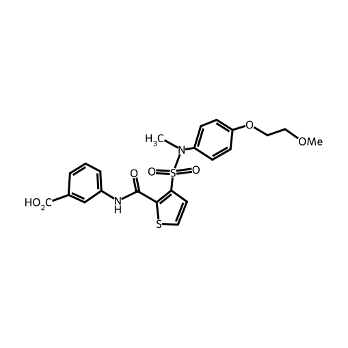 COCCOc1ccc(N(C)S(=O)(=O)c2ccsc2C(=O)Nc2cccc(C(=O)O)c2)cc1